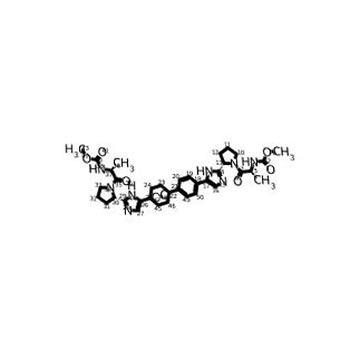 COC(=O)N[C@@H](C)C(=O)N1CCC[C@H]1c1ncc(-c2ccc(C34CCC(c5cnc([C@@H]6CCCN6C(=O)[C@H](C)NC(=O)OC)[nH]5)(CC3)CC4)cc2)[nH]1